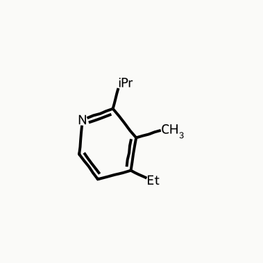 CCc1ccnc(C(C)C)c1C